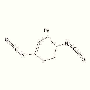 O=C=NC1=CCC(N=C=O)CC1.[Fe]